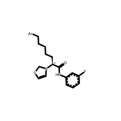 CC(=O)CCCCC[C@@H](C(=O)Nc1cccc(F)c1)N1C=CSC1